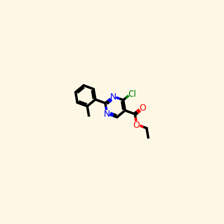 CCOC(=O)c1cnc(-c2ccccc2C)nc1Cl